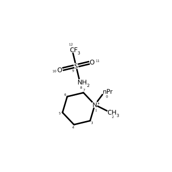 CCC[N+]1(C)CCCCC1.NS(=O)(=O)C(F)(F)F